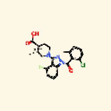 Cc1cccc(Cl)c1C(=O)n1nc(N2CC[C@H](C(=O)O)[C@@H](C)C2)c2c(F)cccc21